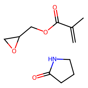 C=C(C)C(=O)OCC1CO1.O=C1CCCN1